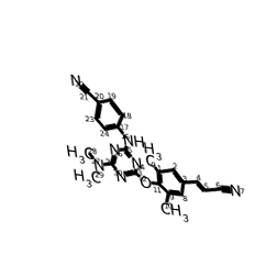 Cc1cc(/C=C/C#N)cc(C)c1Oc1nc(Nc2ccc(C#N)cc2)nc(N(C)C)n1